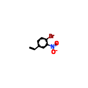 C=Cc1ccc(Br)c([N+](=O)[O-])c1